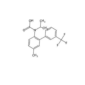 Cc1ccc(N(C(=O)O)C(C)C)c(-c2cccc(C(F)(F)F)c2)c1